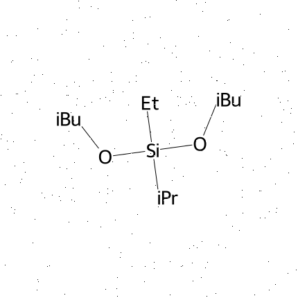 CCC(C)O[Si](CC)(OC(C)CC)C(C)C